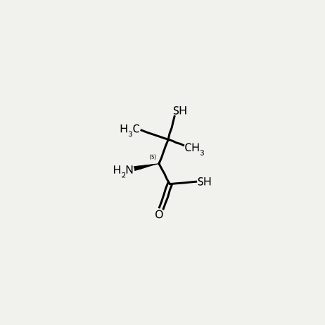 CC(C)(S)[C@H](N)C(=O)S